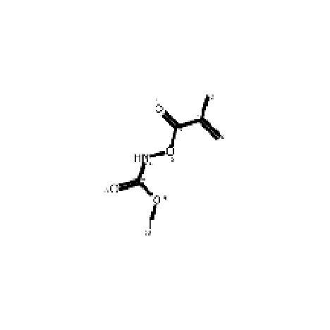 C=C(C)C(=O)ONC(=O)OI